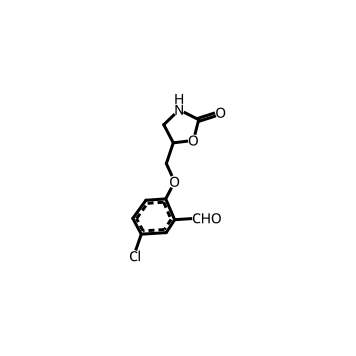 O=Cc1cc(Cl)ccc1OCC1CNC(=O)O1